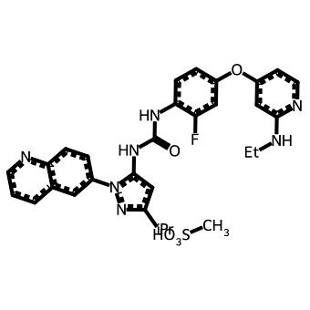 CCNc1cc(Oc2ccc(NC(=O)Nc3cc(C(C)C)nn3-c3ccc4ncccc4c3)c(F)c2)ccn1.CS(=O)(=O)O